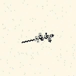 C#C[C@]1(CO[Si](C)(C)C(C)(C)C)O[C@@H](n2ccc3c(NC(=O)OCCCCCCCCCC)nc(Cl)nc32)C[C@@H]1O[Si](C)(C)C(C)(C)C